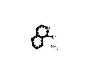 Brc1nccc2ccccc12.N